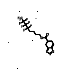 O=C(OCCCCC(F)(F)C(F)(F)C(F)(F)C(F)(F)F)C1=CC=C2N=NN=C2C1